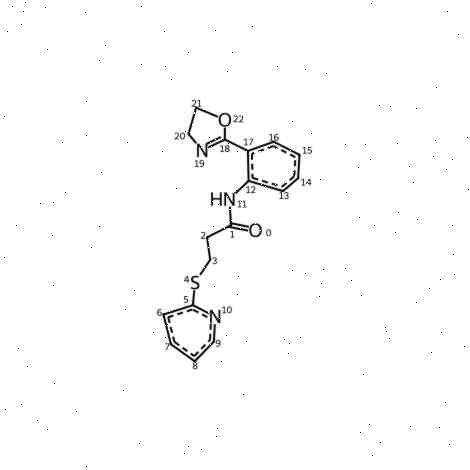 O=C(CCSc1ccccn1)Nc1ccccc1C1=NCCO1